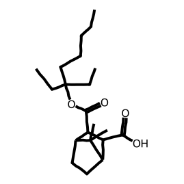 CCCCCC(CC)(CC)OC(=O)C1C(C(=O)O)C2CCC1C2(C)C